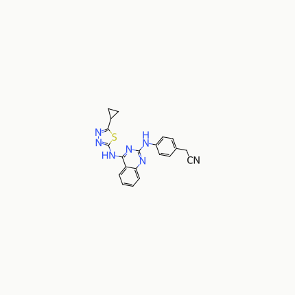 N#CCc1ccc(Nc2nc(Nc3nnc(C4CC4)s3)c3ccccc3n2)cc1